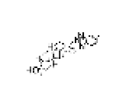 Cc1ccc2nn(CC(=O)[C@H]3CC[C@H]4[C@@H]5CC[C@H]6C[C@](C)(O)CC[C@]6(C)[C@H]5CC[C@]34C)nc2c1